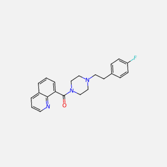 O=C(c1cccc2cccnc12)N1CCN(CCc2ccc(F)cc2)CC1